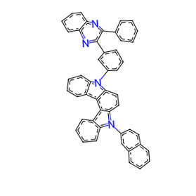 c1ccc(-c2nc3ccccc3nc2-c2cccc(-n3c4ccccc4c4c5c6ccccc6n(-c6ccc7ccccc7c6)c5ccc43)c2)cc1